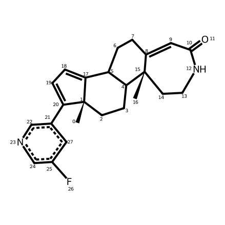 C[C@]12CCC3C(CCC4=CC(=O)NCC[C@@]43C)C1=CC=C2c1cncc(F)c1